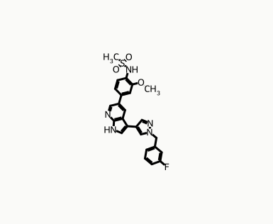 COc1cc(-c2cnc3[nH]cc(-c4cnn(Cc5cccc(F)c5)c4)c3c2)ccc1NS(C)(=O)=O